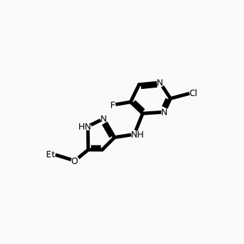 CCOc1cc(Nc2nc(Cl)ncc2F)n[nH]1